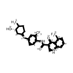 CC1CCC(=Nc2ccc(NC(=O)c3c[nH]c4cccc(C(F)(F)F)c4c3=O)c(C(F)(F)F)c2)C[C@@H]1O